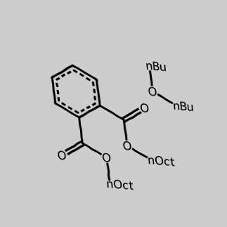 CCCCCCCCOC(=O)c1ccccc1C(=O)OCCCCCCCC.CCCCOCCCC